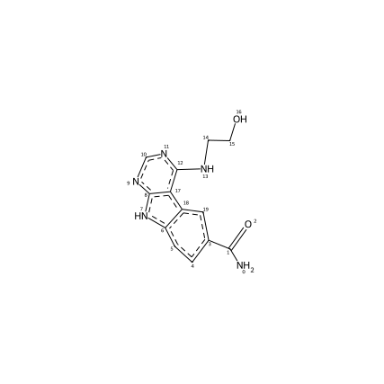 NC(=O)c1ccc2[nH]c3ncnc(NCCO)c3c2c1